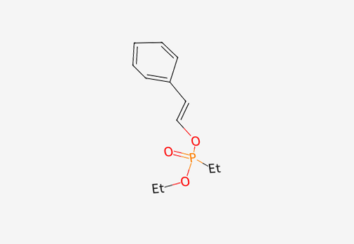 CCOP(=O)(CC)OC=Cc1ccccc1